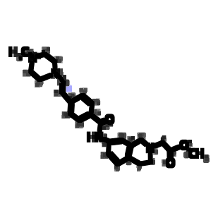 COC(=O)CN1CCc2ccc(NC(=O)c3ccc(/C=N/N4CCN(C)CC4)cc3)cc2C1